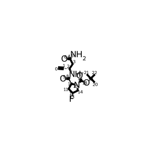 C#C[C@H](CC(N)=O)NC(=O)[C@@H]1C[C@@H](F)CN1C(=O)OC(C)(C)C